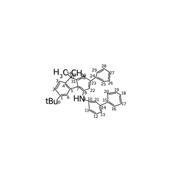 CC(C)(C)c1ccc2c(c1)-c1c(Nc3cccc(-c4ccccc4)c3)cc(-c3ccccc3)cc1C2(C)C